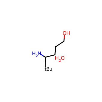 CC(C)(C)C(N)CCCO.O